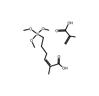 C=C(C)C(=O)O.CO[Si](CCCC=C(C)C(=O)O)(OC)OC